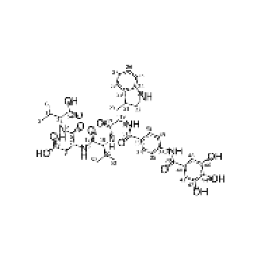 CC(C)[C@@H](NC(=O)[C@H](CC(=O)O)NC(=O)[C@H](NC(=O)[C@H](CC1CNc2ccccc21)NC(=O)c1ccc(NC(=O)c2cc(O)c(O)c(O)c2)cc1)C(C)C)C(=O)O